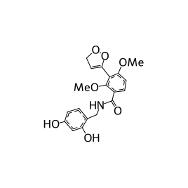 COc1ccc(C(=O)NCc2ccc(O)cc2O)c(OC)c1C1=CCOO1